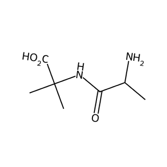 CC(N)C(=O)NC(C)(C)C(=O)O